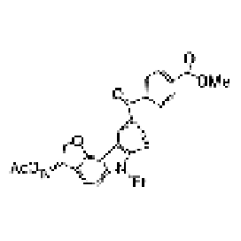 CCn1c2ccc(C(=O)c3ccc(C(=O)OC)cc3)cc2c2c3c(ccc21)/C(=N/OC(C)=O)CO3